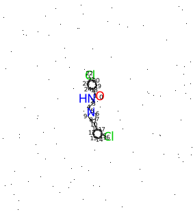 O=C(NCCN1CC2C(C1)C2c1cccc(Cl)c1)c1ccc(Cl)cc1